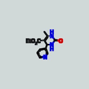 CCOC(=O)C1=C(C)NC(=O)NC1c1cccnc1